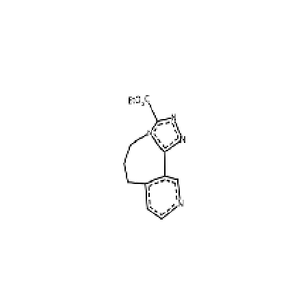 CCOC(=O)c1nnc2n1CCCc1ccncc1-2